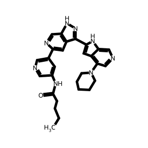 CCCCC(=O)Nc1cncc(-c2cc3c(-c4cc5c(N6CCCCC6)cncc5[nH]4)n[nH]c3cn2)c1